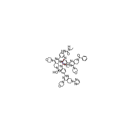 CCNC(=O)Nc1ccc(C2=NC(N3CCOCC3)=C3CCN(C(=O)O)C(N(/C(=N/C#N)NCC)c4ccc(-c5nc6c(c(N7CCOCC7)n5)CCN(c5ncccn5)C6)cc4)C3N2c2ccc(-c3nc4c(c(N5CCOCC5)n3)CCN(C(=O)c3ccccc3)C4)cc2)cc1